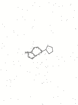 c1cc2cc(C3CCCC3)ccc2[nH]1